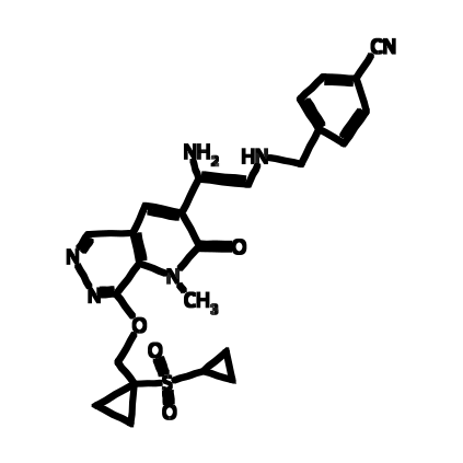 Cn1c(=O)c(/C(N)=C/NCc2ccc(C#N)cc2)cc2cnnc(OCC3(S(=O)(=O)C4CC4)CC3)c21